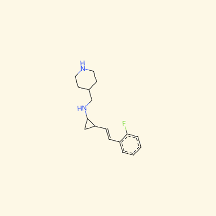 Fc1ccccc1C=CC1CC1NCC1CCNCC1